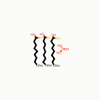 CCCCCCCCCCCCCCCCCC(O)S.CCCCCCCCCCCCCCCCCC(O)S.CCCCCCCCCCCCCCCCCC(O)S.OP(O)O